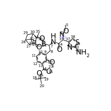 CO/N=C(/C(=O)NC(Cc1cccc(C(=O)OC(C)(C)C)c1OC)B1OC2CC3CC(C3(C)C)C2(C)O1)c1csc(N)n1